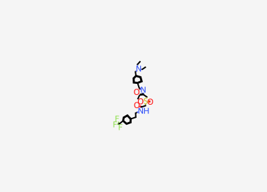 CCN(CC)Cc1ccc(-c2nc(CS(=O)(=O)CC(=O)NCCc3ccc(C(F)(F)F)cc3)c(C)o2)cc1